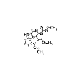 CCOCC1CCCc2[nH]c3cnc(OC(=O)OCC)c(CCOC)c3c21